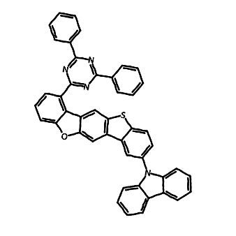 c1ccc(-c2nc(-c3ccccc3)nc(-c3cccc4oc5cc6c(cc5c34)sc3ccc(-n4c5ccccc5c5ccccc54)cc36)n2)cc1